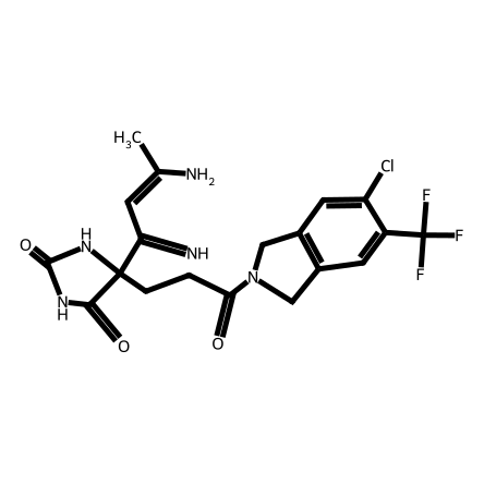 C/C(N)=C/C(=N)C1(CCC(=O)N2Cc3cc(Cl)c(C(F)(F)F)cc3C2)NC(=O)NC1=O